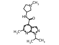 Cc1cc(C(=O)NC2CCN(C)C2)c2cnn(C(C)C)c2n1